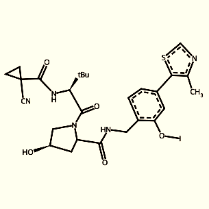 Cc1ncsc1-c1ccc(CNC(=O)C2C[C@@H](O)CN2C(=O)[C@@H](NC(=O)C2(C#N)CC2)C(C)(C)C)c(OI)c1